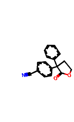 N#Cc1ccc(C2(c3ccccc3)CCOC2=O)cc1